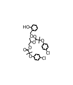 CC(C)(Oc1ccc(Cl)cc1)C(=O)OCC(COCc1ccccc1O)OC(=O)C(C)(C)Oc1ccc(Cl)cc1